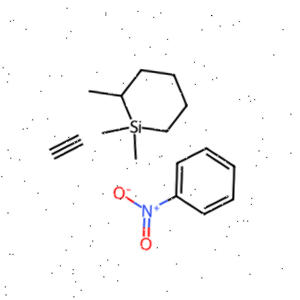 C#C.CC1CCCC[Si]1(C)C.O=[N+]([O-])c1ccccc1